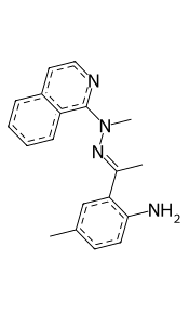 C/C(=N\N(C)c1nccc2ccccc12)c1cc(C)ccc1N